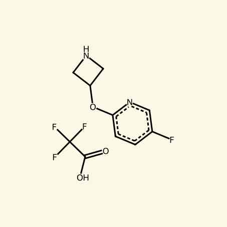 Fc1ccc(OC2CNC2)nc1.O=C(O)C(F)(F)F